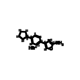 Br.Nc1nc(-c2ccc(N3CCCC3)cc2)co1